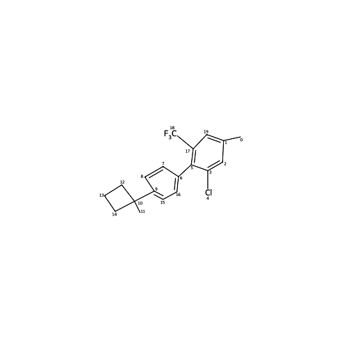 Cc1cc(Cl)c(-c2ccc(C3(C)CCC3)cc2)c(C(F)(F)F)c1